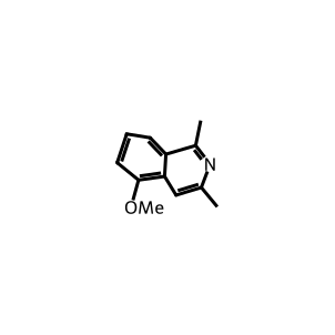 COc1cccc2c(C)nc(C)cc12